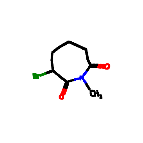 CN1C(=O)CCCC(Br)C1=O